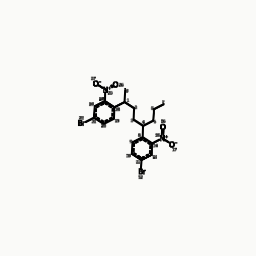 [CH2]C(CCC(CCC)c1ccc(Br)cc1[N+](=O)[O-])c1ccc(Br)cc1[N+](=O)[O-]